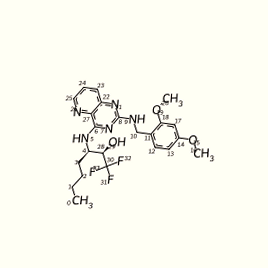 CCCC[C@@H](Nc1nc(NCc2ccc(OC)cc2OC)nc2cccnc12)[C@@H](O)C(F)(F)F